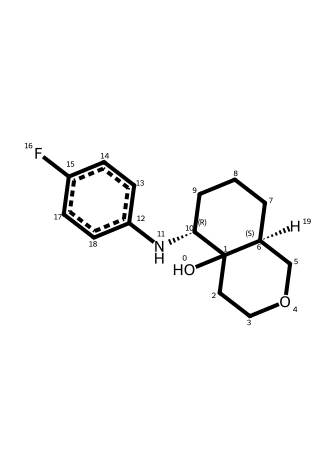 OC12CCOC[C@@H]1CCC[C@H]2Nc1ccc(F)cc1